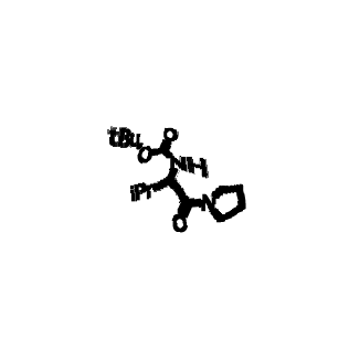 CC(C)C(NC(=O)OC(C)(C)C)C(=O)N1CCCC1